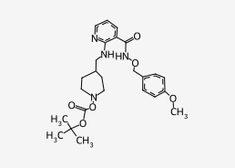 COc1ccc(CONC(=O)c2cccnc2NCC2CCN(OC(=O)OC(C)(C)C)CC2)cc1